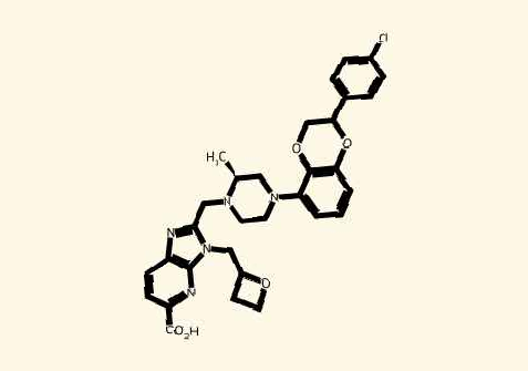 C[C@H]1CN(c2cccc3c2OCC(c2ccc(Cl)cc2)O3)CCN1Cc1nc2ccc(C(=O)O)nc2n1CC1CCO1